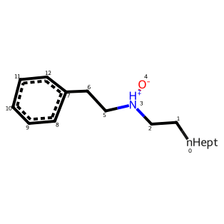 CCCCCCCCC[NH+]([O-])CCc1ccccc1